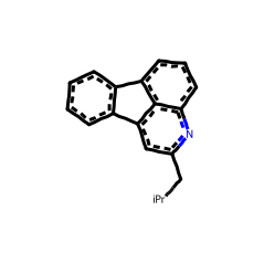 CC(C)Cc1cc2c3c(cccc3n1)-c1ccccc1-2